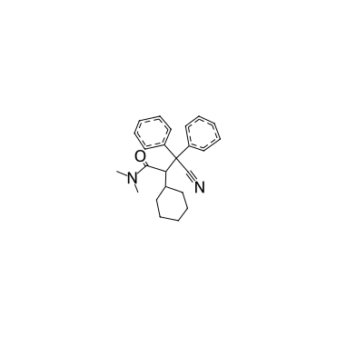 CN(C)C(=O)C(C1CCCCC1)C(C#N)(c1ccccc1)c1ccccc1